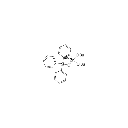 CC(C)C[O][Zr]([O]CC(C)C)([O]CC(C)C)[O][Si](c1ccccc1)(c1ccccc1)c1ccccc1